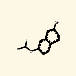 Oc1ccc2ccc(OC(F)F)cc2c1